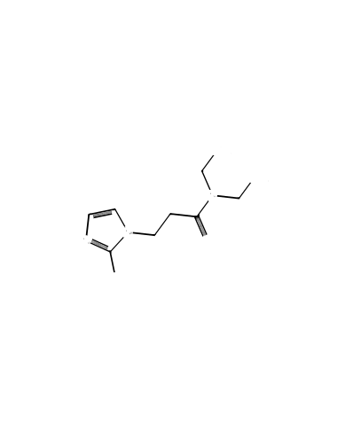 CCN(CC)C(=O)CCn1c[c]nc1C